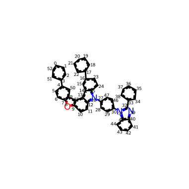 c1ccc(-c2ccc3oc4ccc5c(c6cc(-c7ccccc7)ccc6n5-c5ccc(-n6c(-c7ccccc7)nc7ccccc76)cc5)c4c3c2)cc1